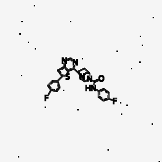 O=C(Nc1ccc(F)cc1)N1CC2CCC1CN2c1ncnc2cc(-c3ccc(F)cc3)sc12